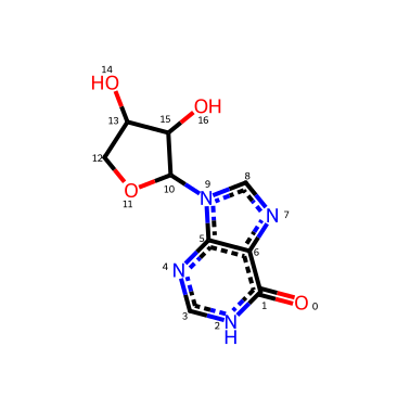 O=c1[nH]cnc2c1ncn2C1OCC(O)C1O